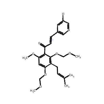 COCOc1cc(OC)c(C(=O)/C=C/c2cncc(Cl)c2)c(OCOC)c1CC=C(C)C